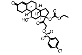 CCOC(=O)O[C@]1(C(=O)COS(=O)(=O)c2ccc(Cl)cc2)CC[C@H]2[C@@H]3CCC4=CC(=O)CC[C@]4(C)[C@H]3[C@@H](O)C[C@@]21C